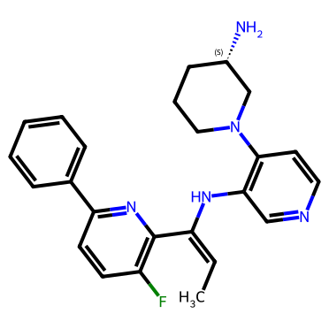 CC=C(Nc1cnccc1N1CCC[C@H](N)C1)c1nc(-c2ccccc2)ccc1F